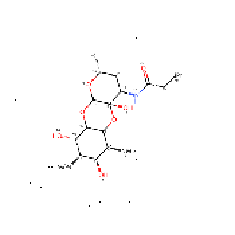 CN[C@@H]1[C@H](O)[C@H](NC)C2O[C@]3(O)C(OC2[C@H]1O)O[C@H](C)C[C@H]3NC(=O)CC(C)C